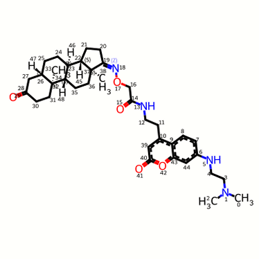 CN(C)CCNc1ccc2c(CCNC(=O)CO/N=C3/CC[C@H]4[C@@H]5CC[C@H]6CC(=O)CC[C@]6(C)[C@H]5CC[C@]34C)cc(=O)oc2c1